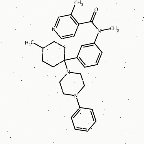 Cc1cnccc1C(=O)N(C)c1cccc(C2(N3CCN(c4ccccc4)CC3)CCC(C)CC2)c1